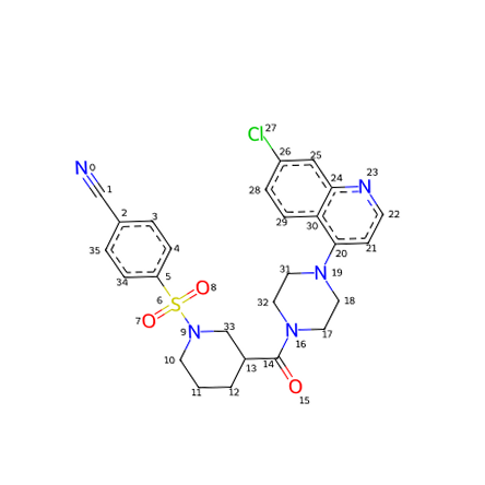 N#Cc1ccc(S(=O)(=O)N2CCCC(C(=O)N3CCN(c4ccnc5cc(Cl)ccc45)CC3)C2)cc1